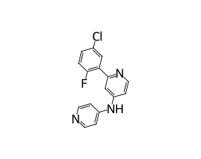 Fc1ccc(Cl)cc1-c1cc(Nc2ccncc2)ccn1